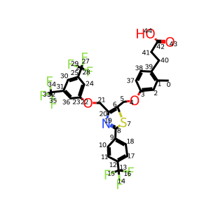 Cc1cc(OCc2sc(-c3ccc(C(F)(F)F)cc3)nc2COc2cc(C(F)(F)F)cc(C(F)(F)F)c2)ccc1CCC(=O)O